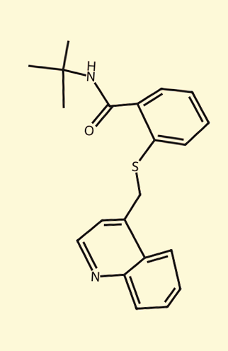 CC(C)(C)NC(=O)c1ccccc1SCc1ccnc2ccccc12